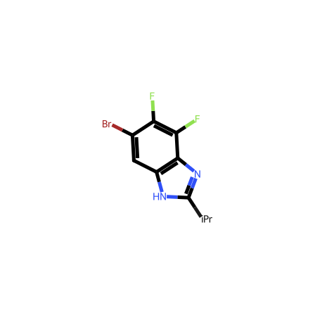 CC(C)c1nc2c(F)c(F)c(Br)cc2[nH]1